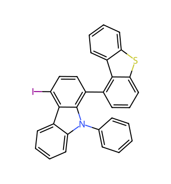 Ic1ccc(-c2cccc3sc4ccccc4c23)c2c1c1ccccc1n2-c1ccccc1